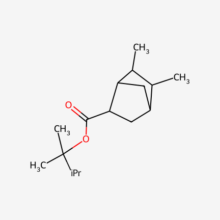 CC1C2CC(C(=O)OC(C)(C)C(C)C)C(C2)C1C